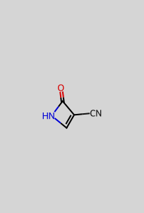 N#CC1=CNC1=O